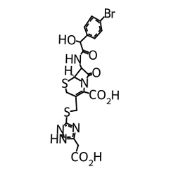 O=C(O)Cc1nc(SCC2=C(C(=O)O)N3C(=O)C(NC(=O)C(O)c4ccc(Br)cc4)[C@@H]3SC2)n[nH]1